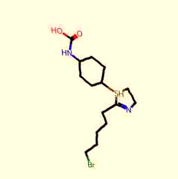 O=C(O)NC1CCC([SH]2CCN=C2CCCCCBr)CC1